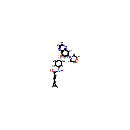 O=C(C#CC1CC1)N[C@H]1CC[C@@H](Oc2cc(N3CCOCC3)cc3nccnc23)CC1